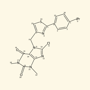 CC(C)c1ccc(-c2nc(Cn3c(Cl)nc4c3c(=O)n(C)c(=O)n4C)cs2)cc1